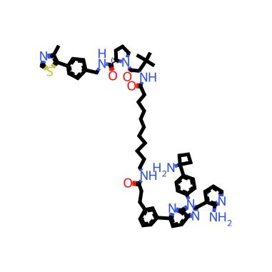 Cc1ncsc1-c1ccc(CNC(=O)[C@@H]2CCCN2C(=O)C(NC(=O)CCCCCCCCCCNC(=O)CCc2cccc(-c3ccc4nc(-c5cccnc5N)n(-c5ccc(C6(N)CCC6)cc5)c4n3)c2)C(C)(C)C)cc1